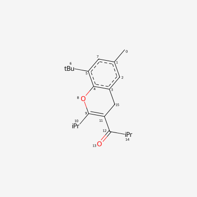 Cc1cc2c(c(C(C)(C)C)c1)OC(C(C)C)=C(C(=O)C(C)C)C2